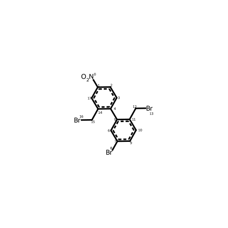 O=[N+]([O-])c1ccc(-c2cc(Br)ccc2CBr)c(CBr)c1